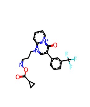 O=C(O/N=C\CCn1cc(-c2cccc(C(F)(F)F)c2)c(=O)[n+]2ccccc12)C1CC1